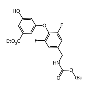 CCOC(=O)c1cc(O)cc(Oc2c(F)cc(CNC(=O)OC(C)(C)C)cc2F)c1